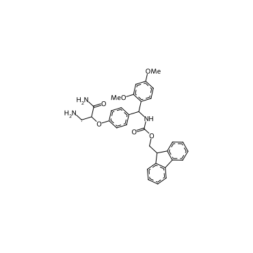 COc1ccc(C(NC(=O)OCC2c3ccccc3-c3ccccc32)c2ccc(OC([CH]N)C(N)=O)cc2)c(OC)c1